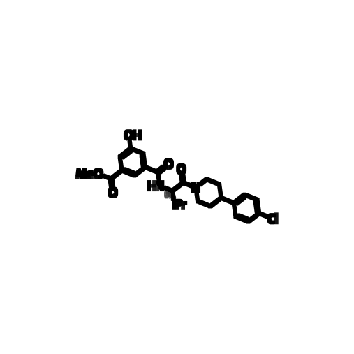 COC(=O)c1cc(O)cc(C(=O)N[C@@H](C(=O)N2CCC(c3ccc(Cl)cc3)CC2)C(C)C)c1